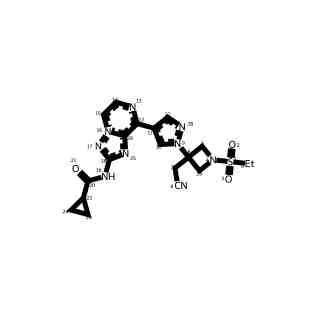 CCS(=O)(=O)N1CC(CC#N)(n2cc(-c3nccn4nc(NC(=O)C5CC5)nc34)cn2)C1